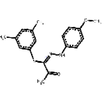 COc1ccc(N/N=C(/Sc2cc(C)cc(C)c2)C(C)=O)cc1